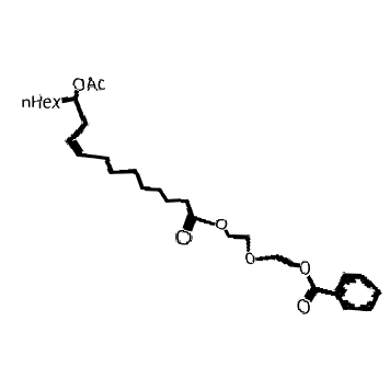 CCCCCCC(C/C=C\CCCCCCCC(=O)OCCOCCOC(=O)c1ccccc1)OC(C)=O